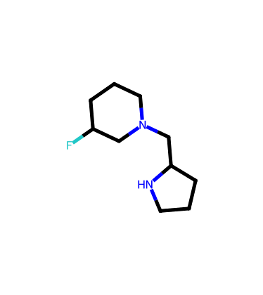 FC1CCCN(CC2CCCN2)C1